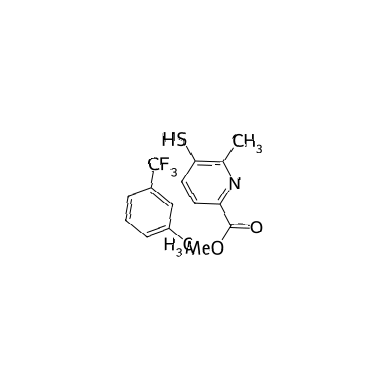 COC(=O)c1ccc(S)c(C)n1.Cc1cccc(C(F)(F)F)c1